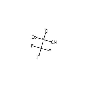 CC[Si](Cl)(C#N)C(F)(F)F